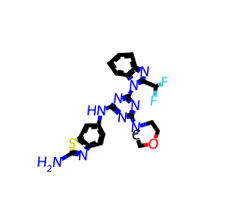 Nc1nc2ccc(Nc3nc(N4CCOCC4)nc(-n4c(C(F)F)nc5ccccc54)n3)cc2s1